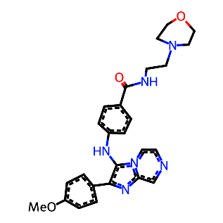 COc1ccc(-c2nc3cnccn3c2Nc2ccc(C(=O)NCCN3CCOCC3)cc2)cc1